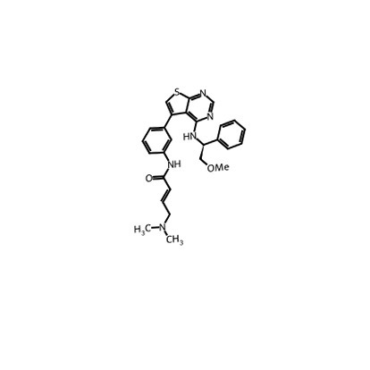 COC[C@@H](Nc1ncnc2scc(-c3cccc(NC(=O)/C=C/CN(C)C)c3)c12)c1ccccc1